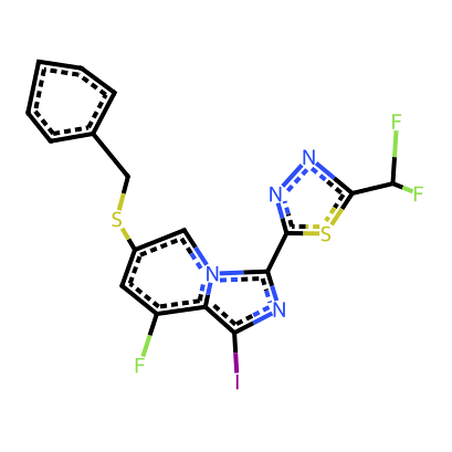 Fc1cc(SCc2ccccc2)cn2c(-c3nnc(C(F)F)s3)nc(I)c12